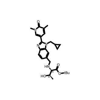 Cc1cc(-c2nc3ccc(CN[C@@H](C(=O)OC(C)(C)C)[C@@H](C)O)cc3n2CC2CC2)cn(C)c1=O